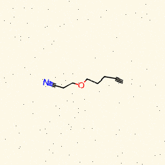 C#CCCCOCCC#N